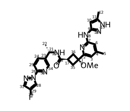 CO[C@]1(c2cc(C)cc(Nc3cc(C)[nH]n3)n2)C[C@H](C(=O)N[C@@H](C)c2ccc(-n3cc(F)cn3)nc2)C1